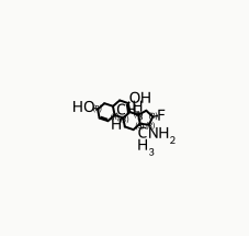 C[C@]12CC[C@H]3C(=C(O)CC4C[C@@H](O)C=C[C@@]43C)[C@@H]1C[C@@H](F)[C@@H]2N